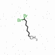 CCCCCCCC(Br)Br